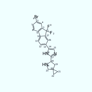 FC1(F)c2cc(Br)ccc2-c2ccc(-c3cnc(C4CC5(CC5)CN4)[nH]3)cc21